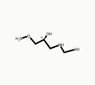 NOC[C@@H](O)CNCS